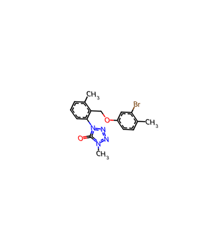 Cc1ccc(OCc2c(C)cccc2-n2nnn(C)c2=O)cc1Br